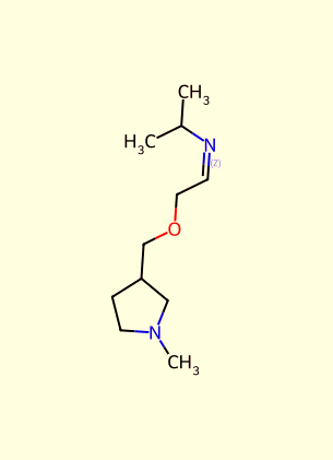 CC(C)/N=C\COCC1CCN(C)C1